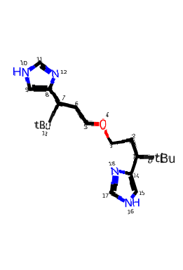 CC(C)(C)C(CCOCCC(c1c[nH]cn1)C(C)(C)C)c1c[nH]cn1